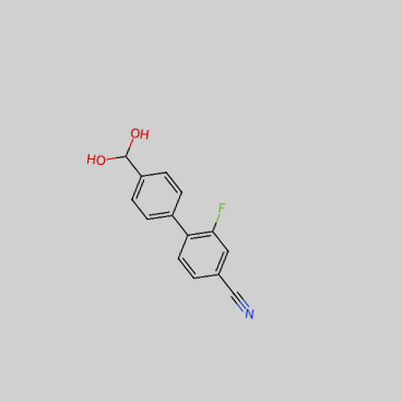 N#Cc1ccc(-c2ccc(C(O)O)cc2)c(F)c1